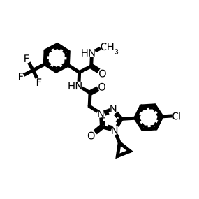 CNC(=O)C(NC(=O)Cn1nc(-c2ccc(Cl)cc2)n(C2CC2)c1=O)c1cccc(C(F)(F)F)c1